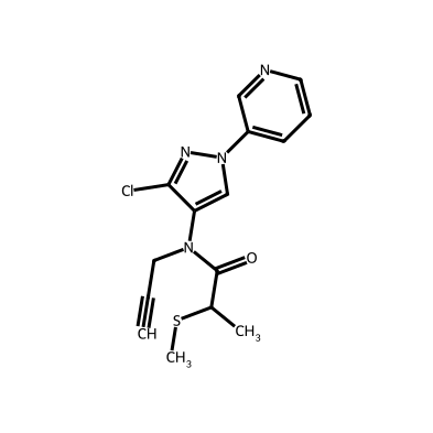 C#CCN(C(=O)C(C)SC)c1cn(-c2cccnc2)nc1Cl